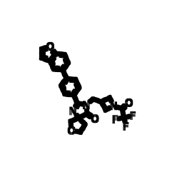 O=C(N1CC(CN2C(=O)C3(CCOC3)N=C2c2ccc(-c3ccc4occc4c3)cc2)C1)C(F)(F)F